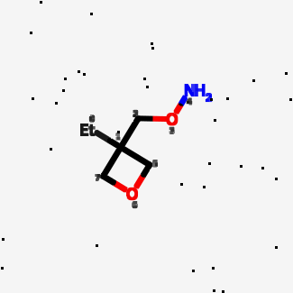 CCC1(CON)COC1